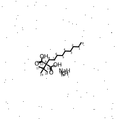 CCCCCCCCCC(C(=O)O)(C(=O)O)C(C)(C)C.[KH].[NaH]